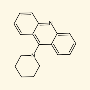 c1ccc2c(N3CCCCC3)c3ccccc3nc2c1